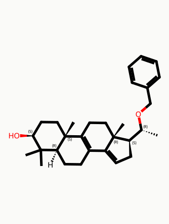 C[C@@H](OCc1ccccc1)[C@H]1CC=C2C3=C(CC[C@@]21C)[C@@]1(C)CC[C@H](O)C(C)(C)[C@@H]1CC3